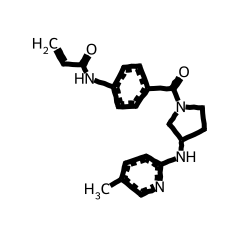 C=CC(=O)Nc1ccc(C(=O)N2CCC(Nc3ccc(C)cn3)C2)cc1